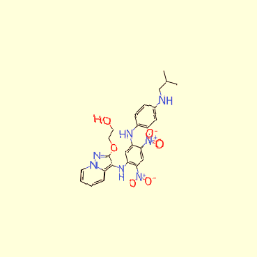 CC(C)CNc1ccc(Nc2cc(Nc3c(OCCO)nn4ccccc34)c([N+](=O)[O-])cc2[N+](=O)[O-])cc1